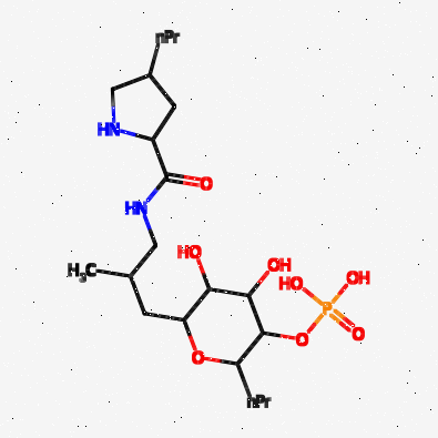 CCCC1CNC(C(=O)NCC(C)CC2OC(CCC)C(OP(=O)(O)O)C(O)C2O)C1